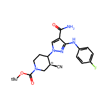 CC(C)(C)OC(=O)N1CCC(n2cc(C(N)=O)c(Nc3ccc(F)cc3)n2)[C@@H](C#N)C1